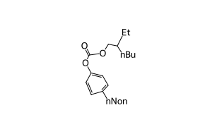 CCCCCCCCCc1ccc(OC(=O)OCC(CC)CCCC)cc1